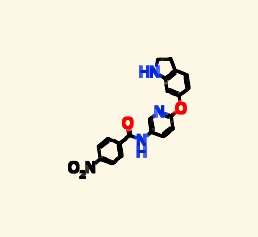 O=C(Nc1ccc(Oc2ccc3c(c2)NCC3)nc1)c1ccc([N+](=O)[O-])cc1